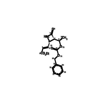 CCOC(=O)C=C[C@@H]1NC(=O)[C@@H]1[C@@H](C)OC(=O)OCc1ccccc1